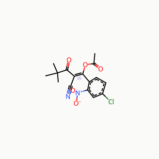 CC(=O)O/C(=C(/C#N)C(=O)C(C)(C)C)c1ccc(Cl)cc1[N+](=O)[O-]